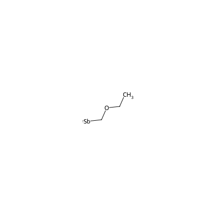 CCO[CH2][Sb]